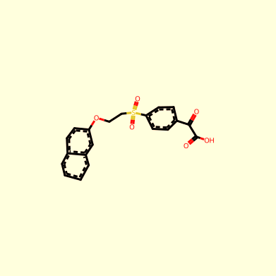 O=C(O)C(=O)c1ccc(S(=O)(=O)CCOc2ccc3ccccc3c2)cc1